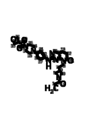 C=CC(=O)N1CC(CCn2c(=O)ccc3cnc(Nc4ccc(N5CCN(S(=O)(=O)C6COC6)CC5)cc4)nc32)C1